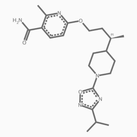 Cc1nc(OCC[C@@H](C)C2CCN(c3nc(C(C)C)no3)CC2)ccc1C(N)=O